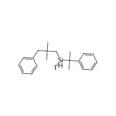 CC(C)(Cc1ccccc1)C[SiH](I)C(C)(C)c1ccccc1